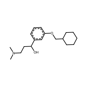 CN(C)CCC(O)c1cccc(OCC2CCCCC2)c1